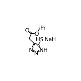 CC(C)OC(=O)Cc1nn[nH]c1S.[NaH]